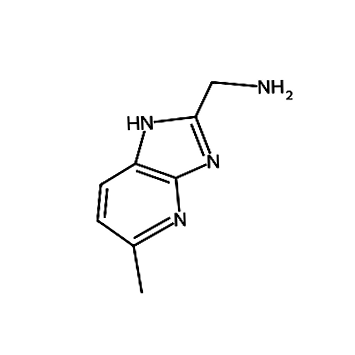 Cc1ccc2[nH]c(CN)nc2n1